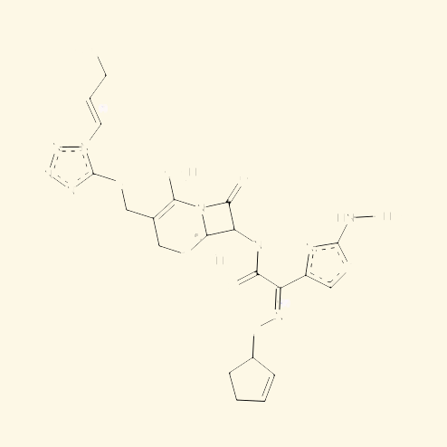 O=CNc1nc(/C(=N/OC2C=CCC2)C(=O)NC2C(=O)N3C(C(=O)O)=C(CSc4nnnn4/C=C/CC(=O)O)CS[C@H]23)cs1